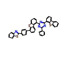 c1ccc(-c2nc(-c3cccc4c3sc3ccccc34)nc(-c3cccc4sc5c(-c6ccc(-c7nc8ccccc8s7)cc6)cccc5c34)n2)cc1